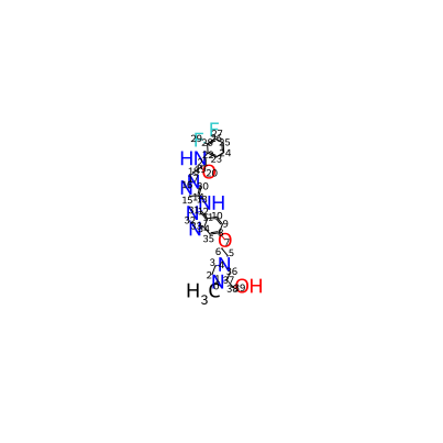 CN1CCN(CCOc2ccc3c(Nc4cnn(CC(=O)Nc5cccc(F)c5F)c4)ncnc3c2)C[C@H]1CO